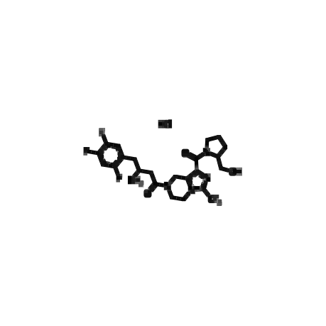 Cl.NC(CC(=O)N1CCn2c(C(F)(F)F)nc(C(=O)N3CCCC3CO)c2C1)Cc1cc(F)c(F)cc1F